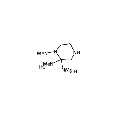 CNN1CCNCC1(NC)NC.Cl.Cl